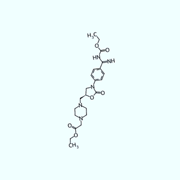 CCOC(=O)CN1CCN(C[C@H]2CN(c3ccc(C(=N)NC(=O)OCC)cc3)C(=O)O2)CC1